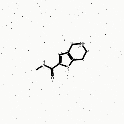 CNC(=O)c1cc2c(s1)CCNC2